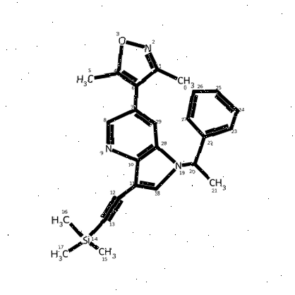 Cc1noc(C)c1-c1cnc2c(C#C[Si](C)(C)C)cn(C(C)c3ccccc3)c2c1